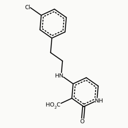 O=C(O)c1c(NCCc2cccc(Cl)c2)cc[nH]c1=O